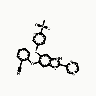 CS(=O)(=O)c1ccc(Oc2cc3[nH]c(-c4cnccn4)nc3cc2Oc2ccccc2C#N)cn1